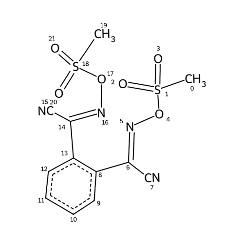 CS(=O)(=O)ON=C(C#N)c1ccccc1C(C#N)=NOS(C)(=O)=O